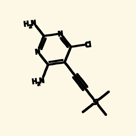 C[Si](C)(C)C#Cc1c(N)nc(N)nc1Cl